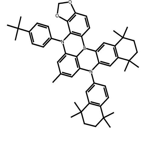 Cc1cc2c3c(c1)N(c1ccc(C(C)(C)C)cc1)c1c(ccc4c1OCO4)B3c1cc3c(cc1N2c1ccc2c(c1)C(C)(C)CCC2(C)C)C(C)(C)CCC3(C)C